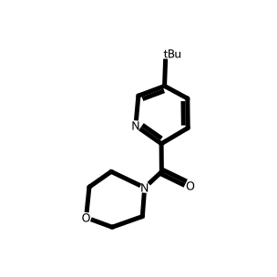 CC(C)(C)c1ccc(C(=O)N2CCOCC2)nc1